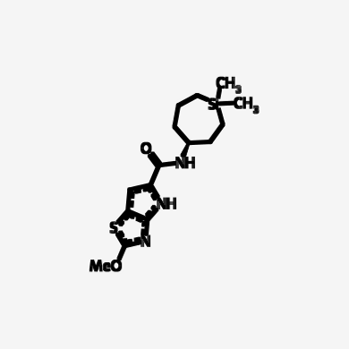 COc1nc2[nH]c(C(=O)N[C@H]3CCC[Si](C)(C)CC3)cc2s1